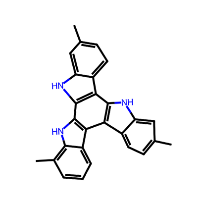 Cc1ccc2c(c1)[nH]c1c3[nH]c4c(C)cccc4c3c3c4ccc(C)cc4[nH]c3c21